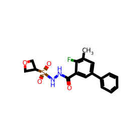 Cc1cc(-c2ccccc2)cc(C(=O)NNS(=O)(=O)C2COC2)c1F